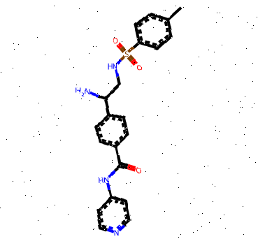 Cc1ccc(S(=O)(=O)NCC(N)c2ccc(C(=O)Nc3ccncc3)cc2)cc1